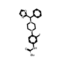 CC[C@@H](C)C(=O)Nc1ccc(N2CCN(C(c3ccccc3)c3ncco3)CC2)c(F)c1